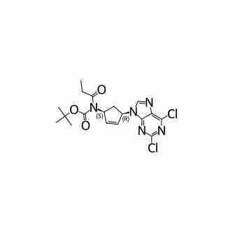 CCC(=O)N(C(=O)OC(C)(C)C)[C@@H]1C=C[C@H](n2cnc3c(Cl)nc(Cl)nc32)C1